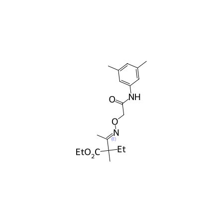 CCOC(=O)C(C)(CC)/C(C)=N/OCC(=O)Nc1cc(C)cc(C)c1